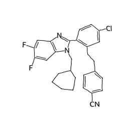 N#Cc1ccc(CCc2cc(Cl)ccc2-c2nc3cc(F)c(F)cc3n2CC2CCCCC2)cc1